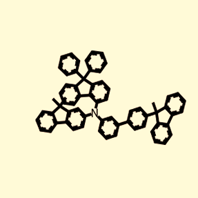 CC1(C)c2ccccc2-c2ccc(N(c3cccc(-c4ccc(C5(C)c6ccccc6-c6ccccc65)cc4)c3)c3cccc4c3-c3ccccc3C4(c3ccccc3)c3ccccc3)cc21